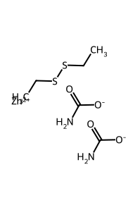 CCSSCC.NC(=O)[O-].NC(=O)[O-].[Zn+2]